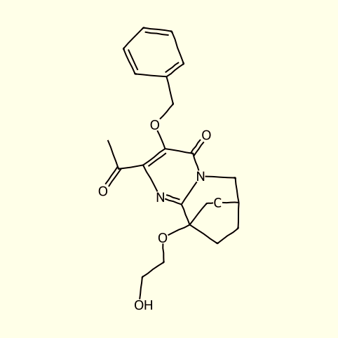 CC(=O)c1nc2n(c(=O)c1OCc1ccccc1)CC1CCC2(OCCO)CC1